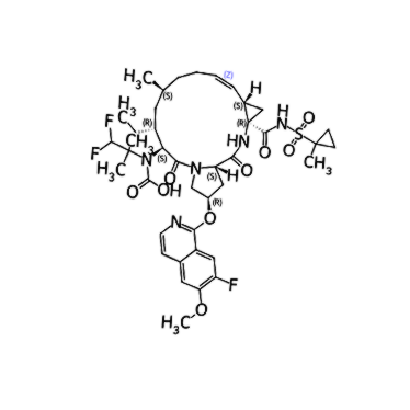 CC[C@@H]1C[C@@H](C)CC/C=C\[C@@H]2C[C@@]2(C(=O)NS(=O)(=O)C2(C)CC2)NC(=O)[C@@H]2C[C@@H](Oc3nccc4cc(OC)c(F)cc34)CN2C(=O)[C@H]1N(C(=O)O)C(C)(C)C(F)F